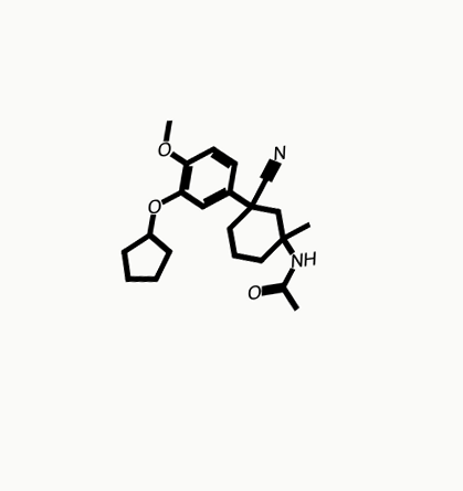 COc1ccc(C2(C#N)CCCC(C)(NC(C)=O)C2)cc1OC1CCCC1